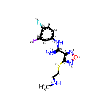 CNCCSc1nonc1C(=N)Nc1ccc(F)c(I)c1